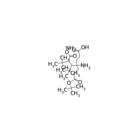 CC(C)(C)OC(=O)CCC(N)(CCC(=O)O)C(C(C(=O)ON)C(C)(C)C)C(C)(C)C